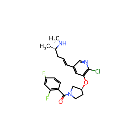 CN[C@@H](C)CC=Cc1cnc(Cl)c(O[C@H]2CCN(C(=O)c3ccc(F)cc3F)C2)c1